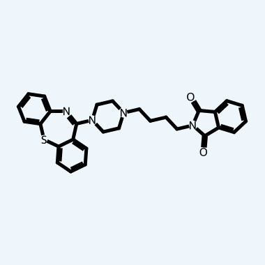 O=C1c2ccccc2C(=O)N1CCCCN1CCN(C2=Nc3ccccc3Sc3ccccc32)CC1